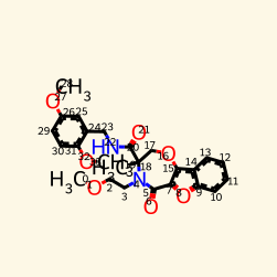 COCCN1C(=O)c2oc3ccccc3c2OCC1(C)C(=O)NCc1cc(OC)ccc1OC